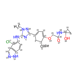 COC1CC(c2nc(Nc3ccc4[nH]ncc4c3Cl)n(C)n2)=CC=C1OCC(=O)NC1(O)CC1